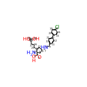 N[C@@]1(C(=O)O)C[C@@H](CNCc2ccc(-c3ccc(Cl)cc3)cc2)C[C@@H]1CCCB(O)O